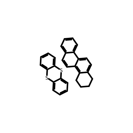 c1ccc2c(c1)Sc1ccccc1S2.c1ccc2c(c1)ccc1c3c(ccc12)CCCC3